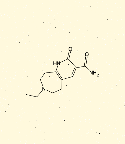 CCN1CCc2cc(C(N)=O)c(=O)[nH]c2CC1